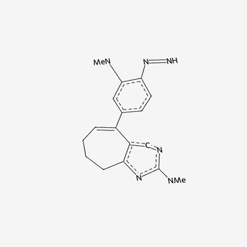 CNc1ncc2c(n1)CCCC=C2c1ccc(N=N)c(NC)c1